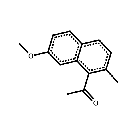 COc1ccc2ccc(C)c(C(C)=O)c2c1